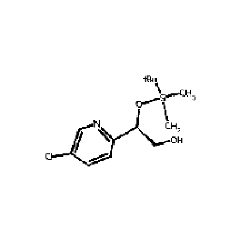 CC(C)(C)[Si](C)(C)O[C@@H](CO)c1ccc(Cl)cn1